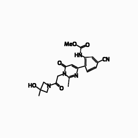 COC(=O)Nc1cc(C#N)ccc1-c1cc(=O)n(CC(=O)N2CC(C)(O)C2)c(C)n1